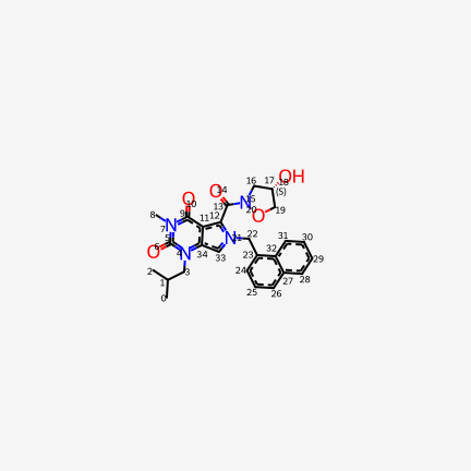 CC(C)Cn1c(=O)n(C)c(=O)c2c(C(=O)N3C[C@H](O)CO3)n(Cc3cccc4ccccc34)cc21